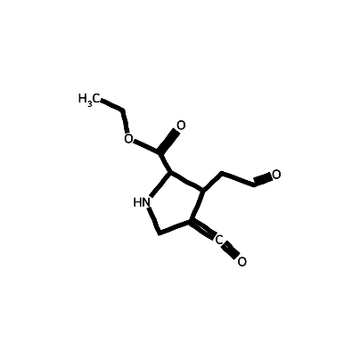 CCOC(=O)C1NCC(=C=O)C1CC=O